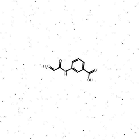 C=CC(=O)Nc1cccc(C(=O)O)c1